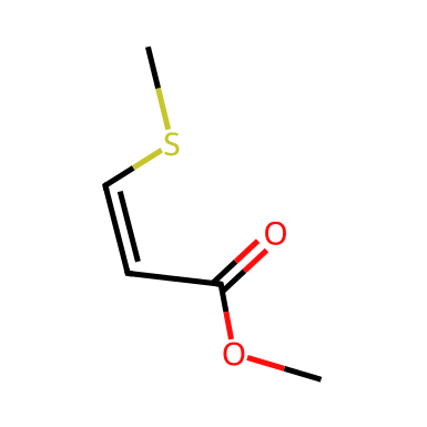 COC(=O)/C=C\SC